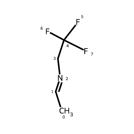 C/[C]=N/CC(F)(F)F